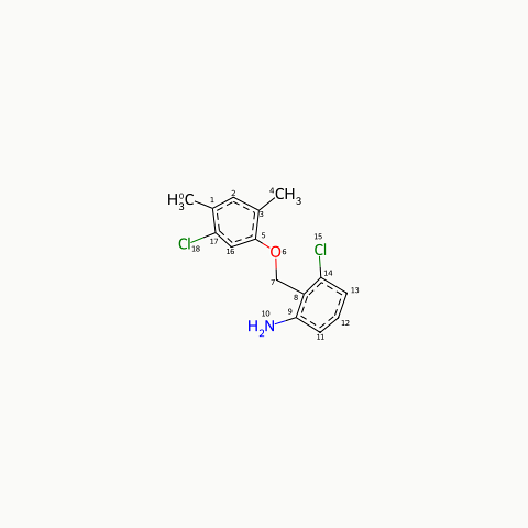 Cc1cc(C)c(OCc2c(N)cccc2Cl)cc1Cl